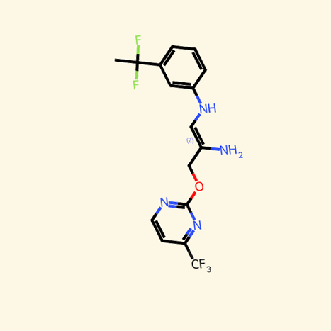 CC(F)(F)c1cccc(N/C=C(\N)COc2nccc(C(F)(F)F)n2)c1